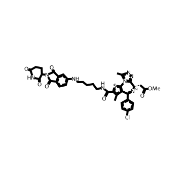 COC(=O)C[C@@H]1N=C(c2ccc(Cl)cc2)c2c(sc(C(=O)NCCCCCNc3ccc4c(c3)C(=O)N(C3CCC(=O)NC3=O)C4=O)c2C)-n2c(C)nnc21